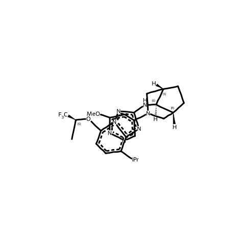 COc1cc(N2C[C@H]3CC[C@@H](C2)[C@@H]3Nc2nc3c(C(C)C)ccc(O[C@@H](C)C(F)(F)F)n3n2)cnn1